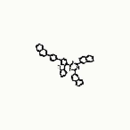 c1ccc2cc(-c3ccc(-c4ccc(-c5nc(-c6ccc7ccccc7c6)nc(-c6ccc7ccccc7c6)n5)c5c4oc4ccccc45)cc3)ccc2c1